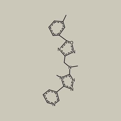 Cc1cccc(-c2nc(CN(C)c3nnc(-c4cccnc4)n3C)no2)c1